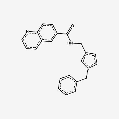 O=C(NCc1ccn(Cc2ccccc2)c1)c1ccc2ncccc2c1